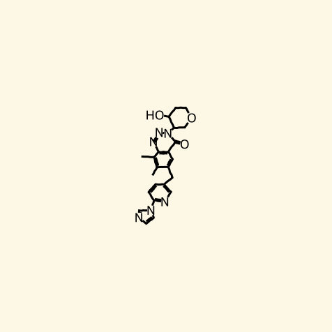 Cc1c(Cc2ccc(-n3ccnc3)nc2)cc2c(=O)n(C3COCCC3O)nnc2c1C